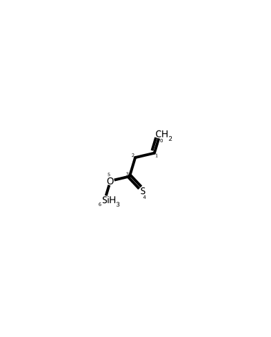 C=CCC(=S)O[SiH3]